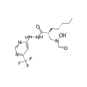 CCCCC[C@@H](CN(O)C=O)C(=O)NNc1cc(C(F)(F)F)ncn1